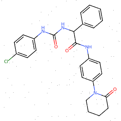 O=C(Nc1ccc(Cl)cc1)NC(C(=O)Nc1ccc(N2CCCCC2=O)cc1)c1ccccc1